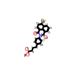 COC(=O)CCCc1ccc(N2C(=O)c3cccc4c(Br)ccc(c34)C2=O)cc1